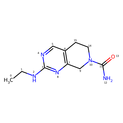 CCNc1ncc2c(n1)CN(C(N)=O)CC2